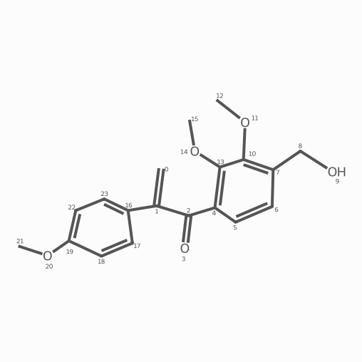 C=C(C(=O)c1ccc(CO)c(OC)c1OC)c1ccc(OC)cc1